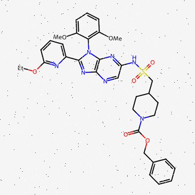 CCOc1cccc(-c2nc3ncc(NS(=O)(=O)CC4CCN(C(=O)OCc5ccccc5)CC4)nc3n2-c2c(OC)cccc2OC)n1